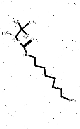 C[C@@H](CC(=O)NCCCCCCCCN)C(C)(C)C